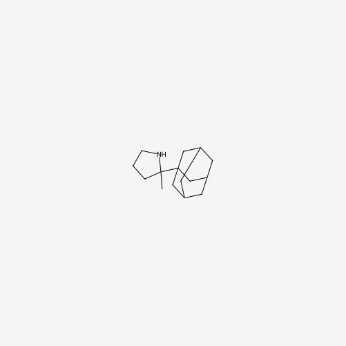 CC1(C23CC4CC(CC(C4)C2)C3)CCCN1